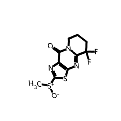 C[S+]([O-])c1nc2c(=O)n3c(nc2s1)C(F)(F)CCC3